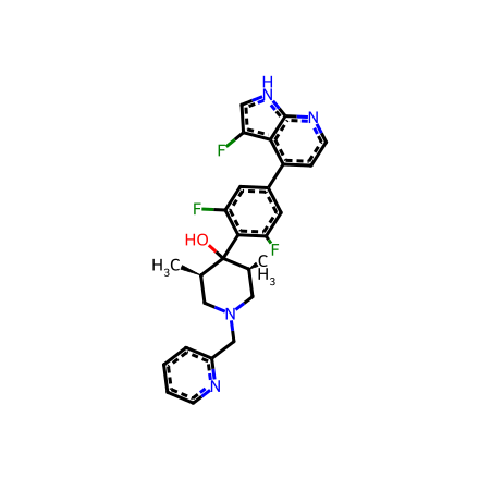 C[C@@H]1CN(Cc2ccccn2)C[C@H](C)C1(O)c1c(F)cc(-c2ccnc3[nH]cc(F)c23)cc1F